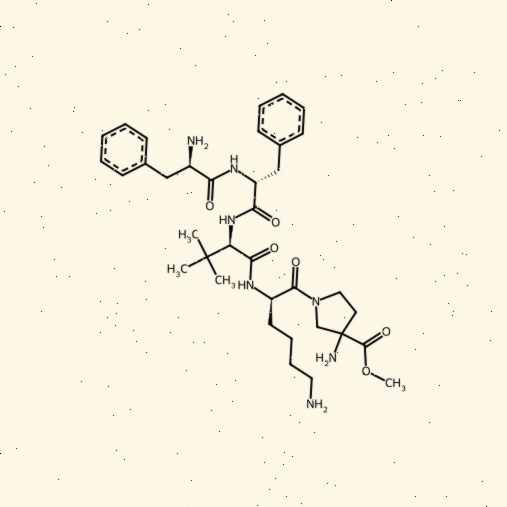 COC(=O)C1(N)CCN(C(=O)[C@@H](CCCCN)NC(=O)[C@H](NC(=O)[C@@H](Cc2ccccc2)NC(=O)[C@H](N)Cc2ccccc2)C(C)(C)C)C1